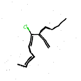 C=C(CCC)/C(Cl)=C\C=C/C